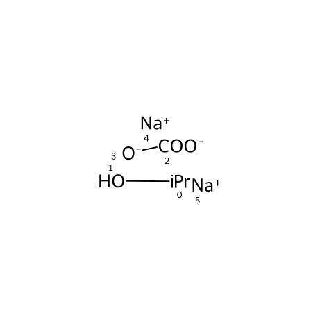 CC(C)O.O=C([O-])[O-].[Na+].[Na+]